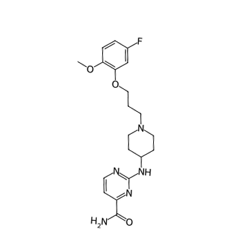 COc1ccc(F)cc1OCCCN1CCC(Nc2nccc(C(N)=O)n2)CC1